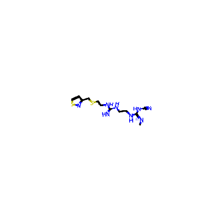 C/N=C(/NC#N)NCCNC(=N)NCCSCc1ccsn1